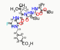 CC(C)[C@H](NC(=O)N[C@H](C(=O)N1CC2C([C@H]1C(=O)N[C@@H](CC(F)F)C(=O)NCCc1ccc(C(=O)O)cc1)C2(C)C)C(C)(C)C)C(=O)OC(C)(C)C